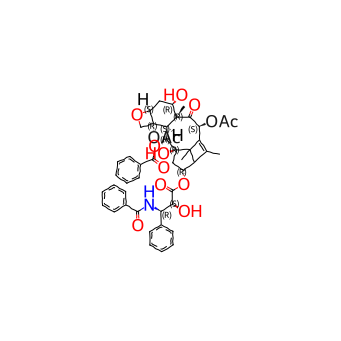 CC(=O)O[C@@H]1C(=O)[C@@]2(C)[C@H](O)C[C@@H]3OC[C@]3(OC(C)=O)[C@@H]2[C@@H](OC(=O)c2ccccc2)[C@@]2(O)C[C@@H](OC(=O)[C@@H](O)[C@H](NC(=O)c3ccccc3)c3ccccc3)C3C(C)=C1C32C